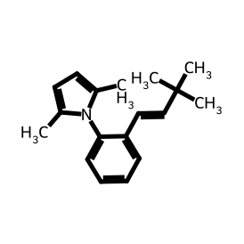 Cc1ccc(C)n1-c1ccccc1C=CC(C)(C)C